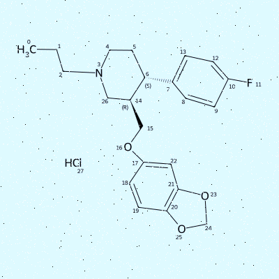 CCCN1CC[C@H](c2ccc(F)cc2)[C@@H](COc2ccc3c(c2)OCO3)C1.Cl